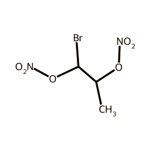 CC(O[N+](=O)[O-])C(Br)O[N+](=O)[O-]